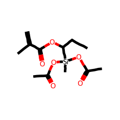 C=C(C)C(=O)OC(CC)[Si](C)(OC(C)=O)OC(C)=O